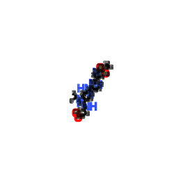 CC(C)n1nc(NC2CCS(=O)(=O)C2)c2cnc(Nc3ccnc(-c4cnn(S(=O)(=O)C5CC5)c4)n3)cc21